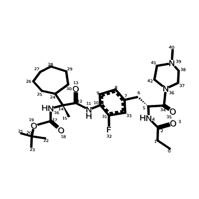 CCC(=O)N[C@H](Cc1ccc(NC(=O)[C@](C)(NC(=O)OC(C)(C)C)C2CCCCCC2)c(F)c1)C(=O)N1CCN(C)CC1